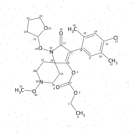 CCOC(=O)OC1=C(c2cc(C)c(Cl)cc2C)C(=O)N(OC2CCCO2)C12CCN(OC)CC2